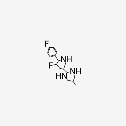 CC1CNC(C2CNC(c3ccc(F)cc3)C(F)C2)NC1